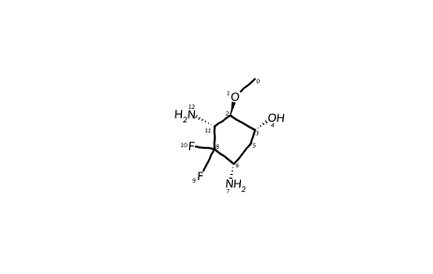 CO[C@H]1[C@H](O)C[C@H](N)C(F)(F)[C@@H]1N